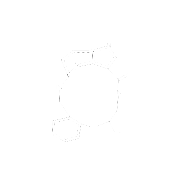 CC(C)C1CNC(=O)c2cnn3ccc(nc23)NCc2ccccc2O1